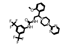 COc1ccccc1C(CNC(=O)Nc1cc(C(F)(F)F)cc(C(F)(F)F)c1)N1CCN(c2ncccn2)CC1